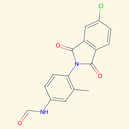 Cc1cc(NC=O)ccc1N1C(=O)c2ccc(Cl)cc2C1=O